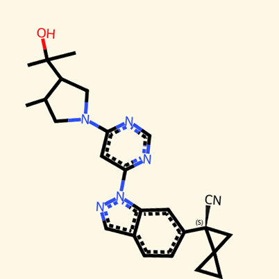 CC1CN(c2cc(-n3ncc4ccc([C@]5(C#N)CC56CC6)cc43)ncn2)CC1C(C)(C)O